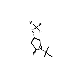 CC(C)(C)N1C[C@@H](OC(F)(F)F)C[C@@H]1F